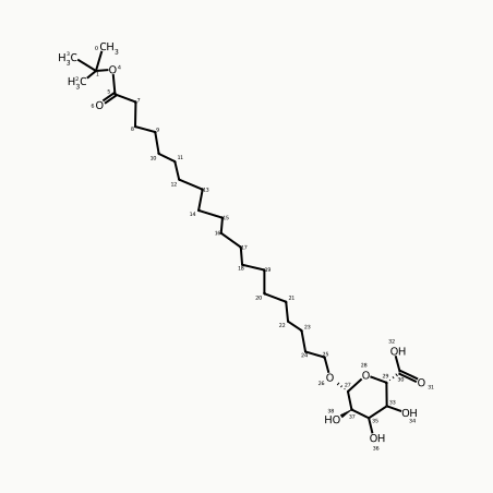 CC(C)(C)OC(=O)CCCCCCCCCCCCCCCCCCCO[C@@H]1O[C@H](C(=O)O)C(O)C(O)[C@H]1O